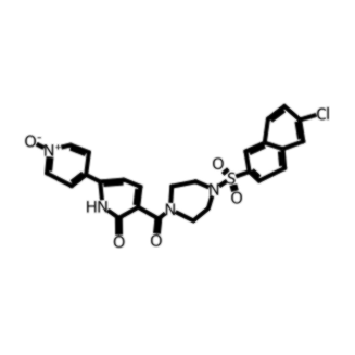 O=C(c1ccc(-c2cc[n+]([O-])cc2)[nH]c1=O)N1CCN(S(=O)(=O)c2ccc3cc(Cl)ccc3c2)CC1